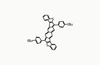 CC(C)(C)c1ccc(C2=c3cc4cc5c(cc4cc3-c3c2sc2ccccc32)=C(c2ccc(C(C)(C)C)cc2)c2sc3ccccc3c2-5)cc1